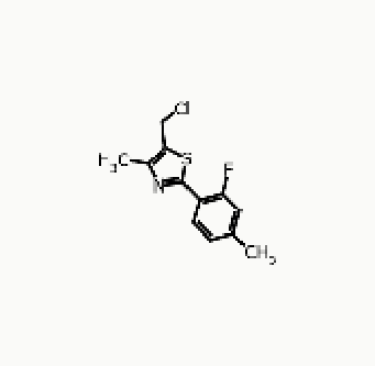 Cc1ccc(-c2nc(C)c(CCl)s2)c(F)c1